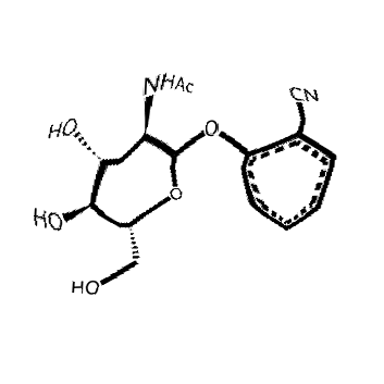 CC(=O)N[C@H]1C(Oc2ccccc2C#N)O[C@H](CO)[C@@H](O)[C@@H]1O